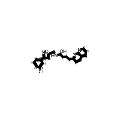 OC(CCCc1ccc2cccnc2n1)NCc1cc(-c2cccc(Cl)c2)no1